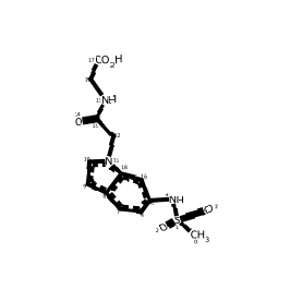 CS(=O)(=O)Nc1ccc2ccn(CC(=O)NCC(=O)O)c2c1